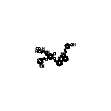 N#Cc1cncc(COc2cc(OCc3cccc(-c4cccc5c4cnn5CCN4CC[C@@H](O)C4)c3Br)c(Cl)cc2CN[C@@H](CO)C(=O)O)c1